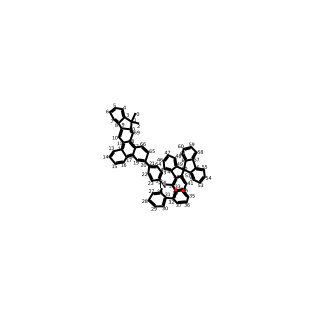 CC1(C)c2ccccc2-c2cc3c4ccccc4c4cc(-c5ccc(N(c6ccccc6-c6ccccc6)c6cccc7c6-c6ccccc6C76c7ccccc7-c7ccccc76)cc5)ccc4c3cc21